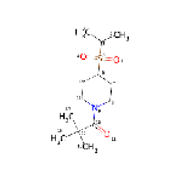 CC(C)S(=O)(=O)C1CCN(C(=O)C(C)(C)C)CC1